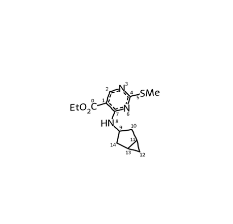 CCOC(=O)c1cnc(SC)nc1NC1CC2CC2C1